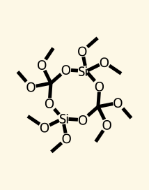 COC1(OC)O[Si](OC)(OC)OC(OC)(OC)O[Si](OC)(OC)O1